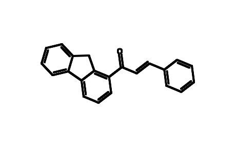 O=C(C=Cc1ccccc1)c1cccc2c1Cc1ccccc1-2